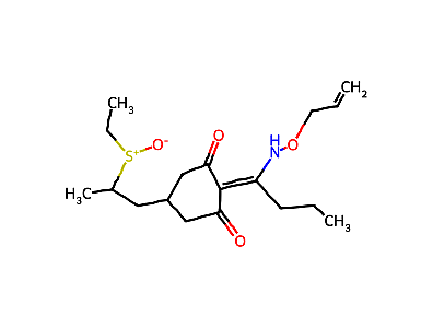 C=CCONC(CCC)=C1C(=O)CC(CC(C)[S+]([O-])CC)CC1=O